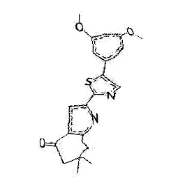 COc1cc(OC)cc(-c2cnc(-c3ccc4c(n3)CC(C)(C)CC4=O)s2)c1